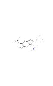 CC/C=C(/F)n1c(C2CCOCC2)cc2cc3c(cnn3C(=O)C(C)(C)C)cc21